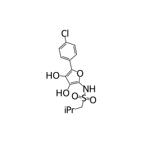 CC(C)CS(=O)(=O)Nc1oc(-c2ccc(Cl)cc2)c(O)c1O